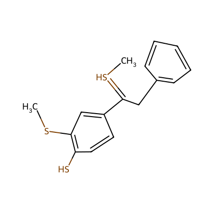 CSc1cc(C(Cc2ccccc2)=[SH]C)ccc1S